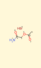 Br.CC(=O)OCC(N)=O